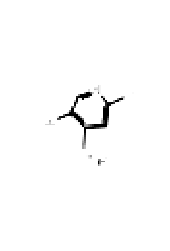 CCCCc1cnc(Cl)cc1OCCC